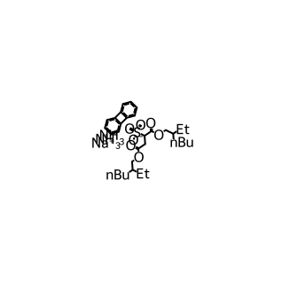 CCCCC(CC)COC(=O)CC(C(=O)OCC(CC)CCCC)S(=O)(=O)[O-].N.N.[Na+].c1ccc2c(c1)-c1ccccc1-2